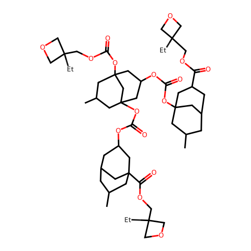 CCC1(COC(=O)OC23CC(C)CC(OC(=O)OC4CC5CC(C)CC(C(=O)OCC6(CC)COC6)(C5)C4)(CC(OC(=O)OC45CC(C)CC(CC(C(=O)OCC6(CC)COC6)C4)C5)C2)C3)COC1